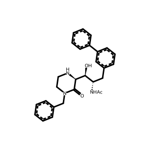 CC(=O)N[C@@H](Cc1cccc(-c2ccccc2)c1)[C@H](O)[C@@H]1NCCN(Cc2ccccc2)C1=O